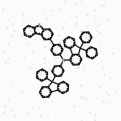 c1ccc(C2(c3ccc(N(c4ccc(-c5ccc6sc7ccccc7c6c5)cc4)c4cccc5c4-c4ccccc4C5(c4ccccc4)c4ccccc4)cc3)c3ccccc3-c3ccccc32)cc1